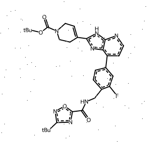 CC(C)(C)OC(=O)N1CC=C(c2nc3c(-c4ccc(CNC(=O)c5nc(C(C)(C)C)no5)c(F)c4)ccnc3[nH]2)CC1